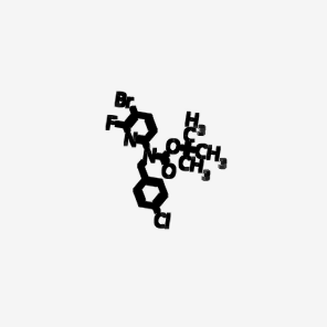 CC(C)(C)OC(=O)N(Cc1ccc(Cl)cc1)c1ccc(Br)c(F)n1